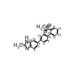 Cc1nc2ccc(-c3ccc(-c4ccccc4S(C)(=O)=O)cc3)cc2[nH]1